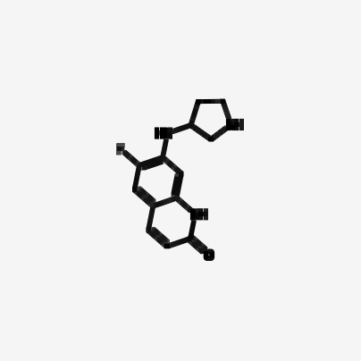 O=c1ccc2cc(F)c(NC3CCNC3)cc2[nH]1